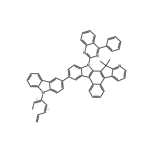 C=C/C=C\C(=C/C)n1c2ccccc2c2cc(-c3ccc4c(c3)c3c5ccccc5c5c(c3n4-c3nc(-c4ccccc4)c4ccccc4n3)C(C)(C)c3ncccc3-5)ccc21